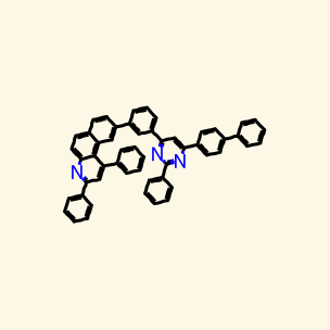 c1ccc(-c2ccc(-c3cc(-c4cccc(-c5ccc6ccc7nc(-c8ccccc8)cc(-c8ccccc8)c7c6c5)c4)nc(-c4ccccc4)n3)cc2)cc1